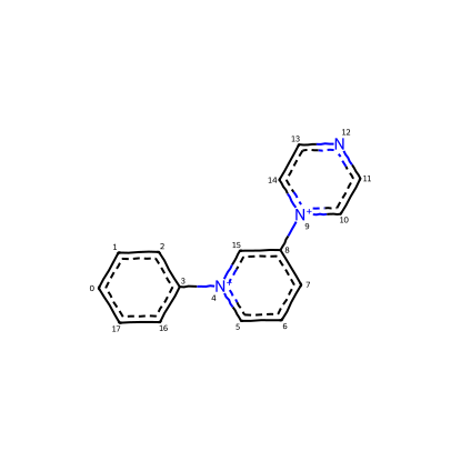 c1ccc(-[n+]2cccc(-[n+]3ccncc3)c2)cc1